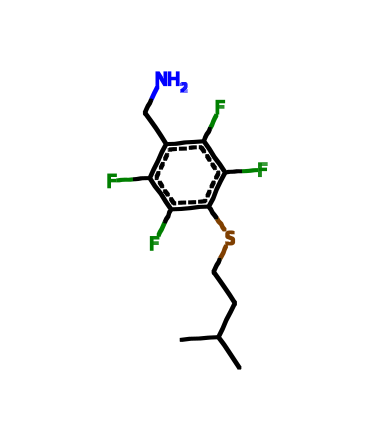 CC(C)CCSc1c(F)c(F)c(CN)c(F)c1F